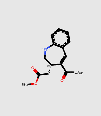 COC(=O)C1=Cc2ccccc2NC[C@H]1CC(=O)OC(C)(C)C